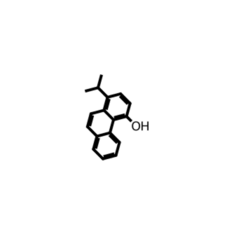 CC(C)c1ccc(O)c2c1ccc1ccccc12